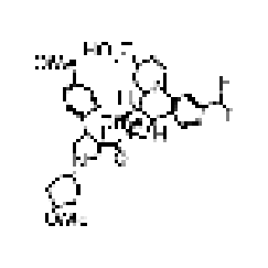 COc1ccc([C@@H]2CN([C@H]3CC[C@H](OC)CC3)CC2(OC)C(=O)N2C[C@@H]3c4ccc(C(F)F)cc4N4CCC(C(=O)O)CC4[C@H]3C2)cc1